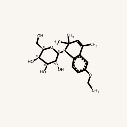 CCOc1ccc2c(c1)C(C)=CC(C)(C)N2[C@@H]1O[C@H](CO)[C@H](O)[C@H](O)[C@H]1O